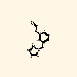 O=CCc1cccc(Cn2cccn2)c1